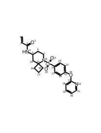 C=CC(=O)NC1CCN(S(=O)(=O)c2ccc(Oc3ccccn3)cc2)C2(CCC2)C1